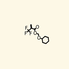 C=C(C(=O)OCOC1CCCCC1)C(F)(F)F